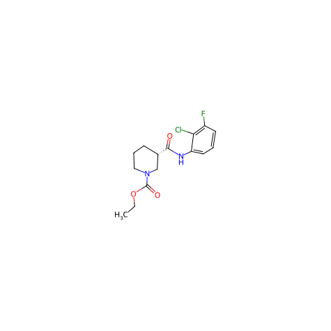 CCOC(=O)N1CCC[C@H](C(=O)Nc2cccc(F)c2Cl)C1